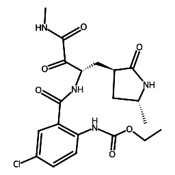 CCOC(=O)Nc1ccc(Cl)cc1C(=O)N[C@@H](C[C@@H]1C[C@@H](C)NC1=O)C(=O)C(=O)NC